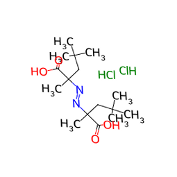 CC(C)(C)CC(C)(N=NC(C)(CC(C)(C)C)C(=O)O)C(=O)O.Cl.Cl